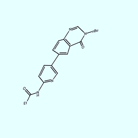 CCCCn1cnc2ccc(-c3ccc(NC(=O)CC)nc3)cc2c1=O